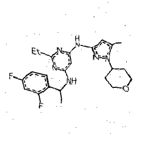 CCc1nc(Nc2cc(C)n(C3CCOCC3)n2)cc(NC(C)c2ccc(F)cc2F)n1